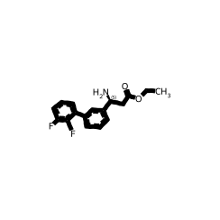 CCOC(=O)C[C@H](N)c1cccc(-c2cccc(F)c2F)c1